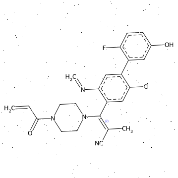 C=CC(=O)N1CCN(/C(=C(/C)C#N)c2cc(Cl)c(-c3cc(O)ccc3F)cc2N=C)CC1